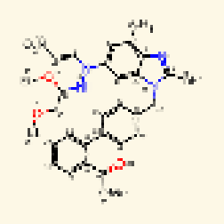 CCCc1nc2c(C)cc(N(C=C[N+](=O)[O-])NC(COCC)OCC)cc2n1Cc1ccc(-c2ccccc2C(=O)OC)cc1